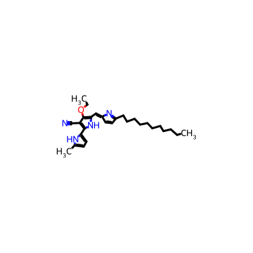 CCCCCCCCCCCC1=N/C(=C/c2[nH]c(-c3ccc(C)[nH]3)c(C#N)c2OCC)C=C1